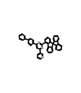 c1ccc(-c2ccc(-c3cc(-c4cccnc4)nc(-c4cccc5c4-c4ccccc4C54c5ccccc5-c5ccccc54)n3)cc2)cc1